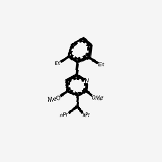 CCCC(CCC)c1c(OC)cc(-c2c(CC)cccc2CC)nc1OC